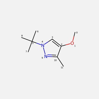 COc1cn(C(C)(C)C)nc1C